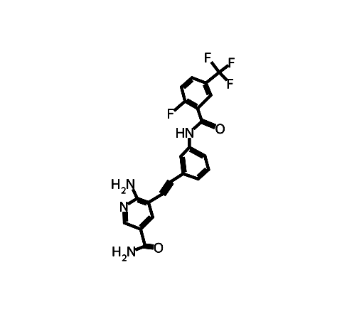 NC(=O)c1cnc(N)c(C#Cc2cccc(NC(=O)c3cc(C(F)(F)F)ccc3F)c2)c1